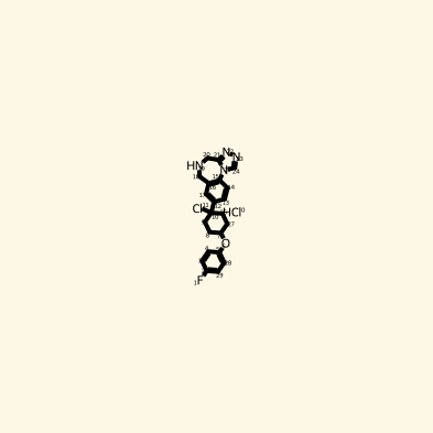 Cl.Fc1ccc(OC2CCC(Cl)(c3ccc4c(c3)CNCc3nncn3-4)CC2)cc1